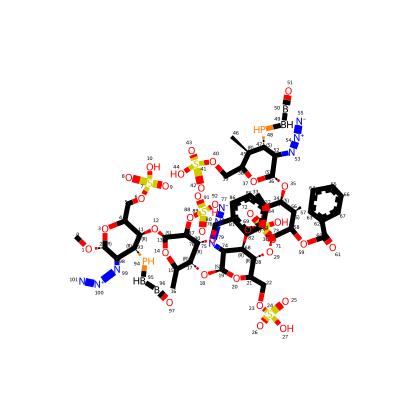 CO[C@@H]1OC(COS(=O)(=O)O)[C@@H](O[C@@H]2OC(C)[C@@H](O[C@@H]3OC(COS(=O)(=O)O)[C@@H](O[C@@H]4OC(C)[C@@H](O[C@@H]5OC(COS(=O)(=O)O)[C@@H](C)[C@H](PBB=O)C5N=[N+]=[N-])[C@H](C)C4OC(=O)c4ccccc4)[C@H](OS(=O)(=O)O)C3N=[N+]=[N-])[C@@H](OCc3ccccc3)C2OS(=O)(=O)O)[C@H](PBB=O)C1N=[N+]=[N-]